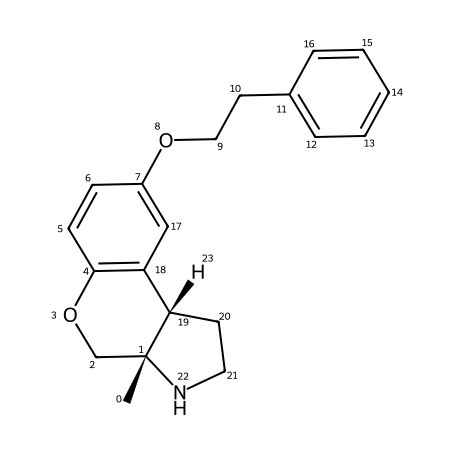 C[C@@]12COc3ccc(OCCc4ccccc4)cc3[C@@H]1CCN2